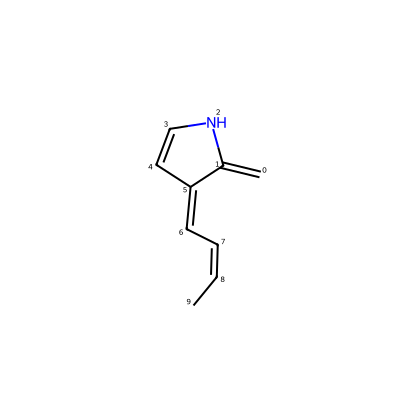 C=c1[nH]cc/c1=C/C=C\C